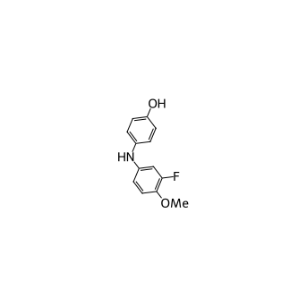 COc1ccc(Nc2ccc(O)cc2)cc1F